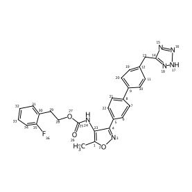 Cc1onc(-c2ccc(-c3ccc(Cc4nn[nH]n4)cc3)cc2)c1NC(=O)OCCc1ccccc1F